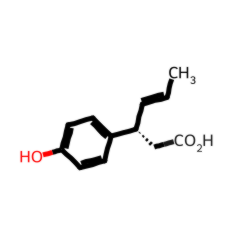 CC=C[C@H](CC(=O)O)c1ccc(O)cc1